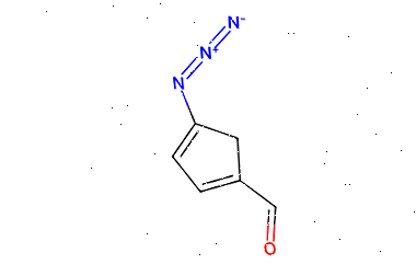 [N-]=[N+]=NC1=CC=C(C=O)C1